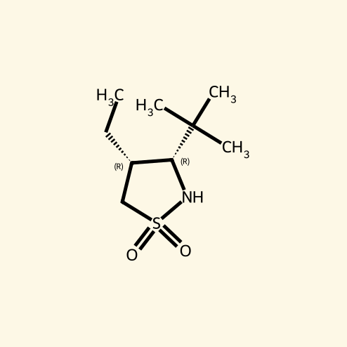 CC[C@H]1CS(=O)(=O)N[C@H]1C(C)(C)C